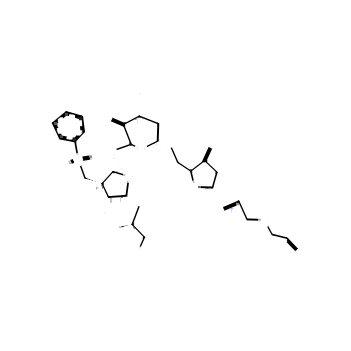 C=CCOC/C=C/[C@H]1CC(=C)C(CC[C@H]2C[C@@H](C)C(=C)C(C[C@@H]3O[C@H](C[C@H](O)CO)[C@H](C)[C@H]3CS(=O)(=O)c3ccccc3)O2)O1